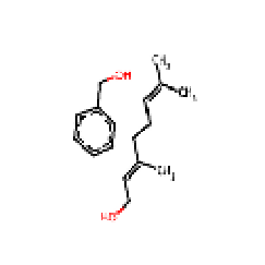 CC(C)=CCC/C(C)=C/CO.OCc1ccccc1